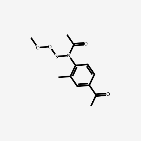 COOSN(C(C)=O)c1ccc(C(C)=O)cc1C